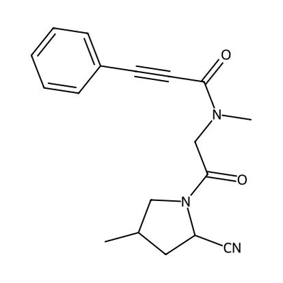 CC1CC(C#N)N(C(=O)CN(C)C(=O)C#Cc2ccccc2)C1